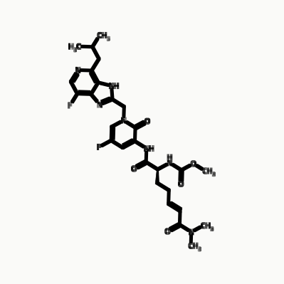 COC(=O)N[C@@H](CC/C=C/C(=O)N(C)C)C(=O)Nc1cc(F)cn(Cc2nc3c(F)cnc(CC(C)C)c3[nH]2)c1=O